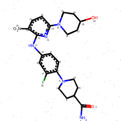 NC(=O)C1CCN(c2ccc(Nc3nc(N4CCC(O)CC4)ccc3[N+](=O)[O-])cc2F)CC1